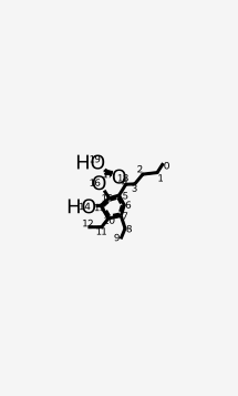 CCCCCc1cc(CC)c(CC)c(O)c1OC(=O)O